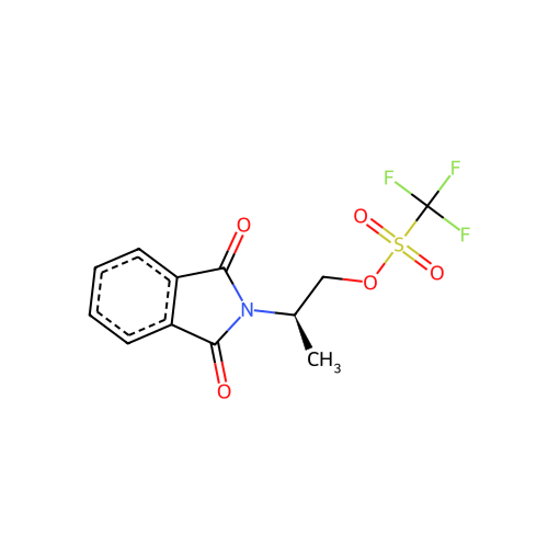 C[C@H](COS(=O)(=O)C(F)(F)F)N1C(=O)c2ccccc2C1=O